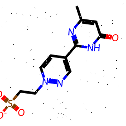 Cc1cc(=O)[nH]c(-c2cc[n+](CCS(=O)(=O)[O-])nc2)n1